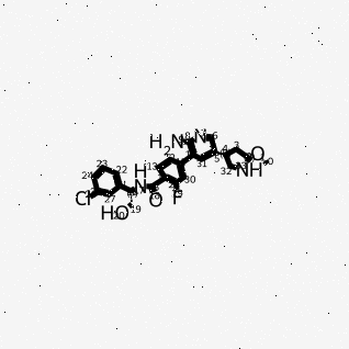 CO[C@@H]1C[C@H](c2cnc(N)c(-c3ccc(C(=O)N[C@H](CO)c4cccc(Cl)c4)c(F)c3)c2)CN1